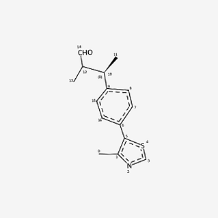 Cc1ncsc1-c1ccc([C@H](C)C(C)C=O)cc1